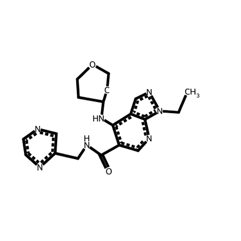 CCn1ncc2c(NC3CCOCC3)c(C(=O)NCc3cnccn3)cnc21